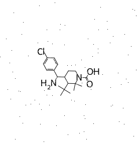 CC(C)(C)C1C(C(N)c2ccc(Cl)cc2)CCN(C(=O)O)C1(C)C